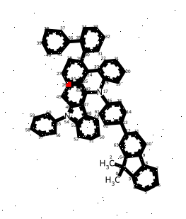 CC1(C)c2ccccc2-c2ccc(-c3ccc(N(c4ccccc4-c4ccccc4-c4ccccc4-c4ccccc4)c4cccc5c4c4ccccc4n5-c4ccccc4)cc3)cc21